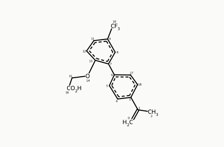 C=C(C)c1ccc(-c2cc(C(F)(F)F)ccc2OCC(=O)O)cc1